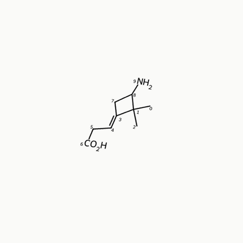 CC1(C)C(=CCC(=O)O)CC1N